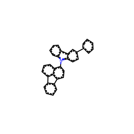 c1ccc(-c2ccc3c(c2)c2ccccc2n3-c2ccc3c4c(cccc24)-c2ccccc2-3)cc1